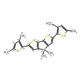 Cc1cc(C)c(-c2cc3c(s2)-c2sc(-c4sc(C)cc4C)cc2[Si]3(C)C)s1